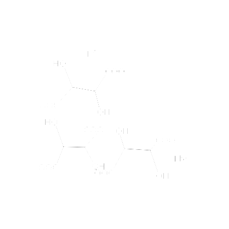 O=C([O-])C(O)C(O)C(=O)[O-].O=C([O-])C(O)C(O)C(=O)[O-].O=C([O-])C(O)C(O)C(=O)[O-].[Pb+2].[Ti+4]